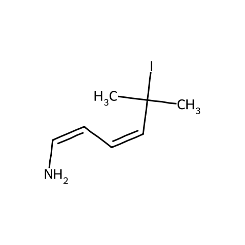 CC(C)(I)/C=C\C=C/N